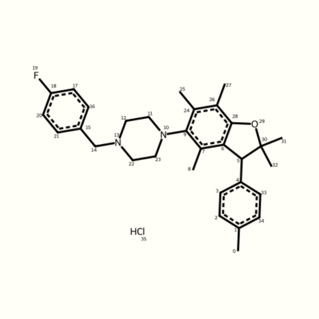 Cc1ccc(C2c3c(C)c(N4CCN(Cc5ccc(F)cc5)CC4)c(C)c(C)c3OC2(C)C)cc1.Cl